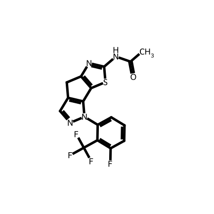 CC(=O)Nc1nc2c(s1)-c1c(cnn1-c1cccc(F)c1C(F)(F)F)C2